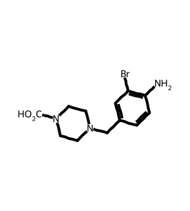 Nc1ccc(CN2CCN(C(=O)O)CC2)cc1Br